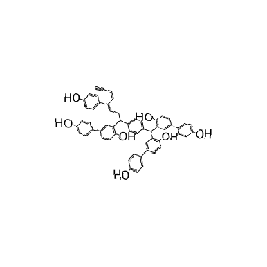 C#C/C=C\C(=C/CC(c1ccc(C(c2cc(-c3ccc(O)cc3)ccc2O)c2cc(-c3ccc(O)cc3)ccc2O)cc1)c1cc(-c2ccc(O)cc2)ccc1O)c1ccc(O)cc1